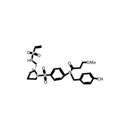 C=CS(=O)(=O)NC[C@H]1CCCN1S(=O)(=O)c1ccc(N(Cc2ccc(C#N)cc2)C(=O)CCOC)cc1